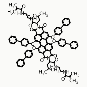 C=C(C)C(=O)NCCNC(=O)C(CC(C)C)N1C(=O)c2cc(Oc3ccc(-c4ccccc4)cc3)c3c4c(Oc5ccc(-c6ccccc6)cc5)cc5c6c(cc(Oc7ccc(-c8ccccc8)cc7)c(c7c(Oc8ccc(-c9ccccc9)cc8)cc(c2c37)C1=O)c64)C(=O)N(C(CC(C)C)C(=O)NCCNC(=O)C(=C)C)C5=O